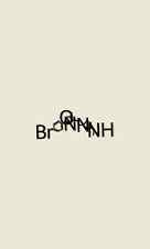 CNC1CCN(CCc2nc(-c3ccc(Br)cc3)oc2C)C1